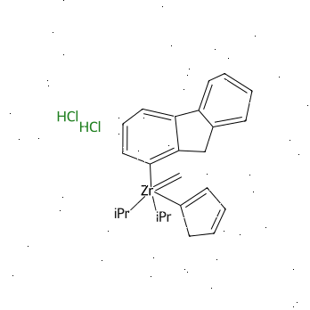 Cl.Cl.[CH2]=[Zr]([C]1=CC=CC1)([c]1cccc2c1Cc1ccccc1-2)([CH](C)C)[CH](C)C